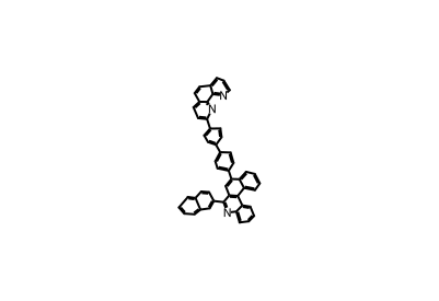 c1ccc2cc(-c3nc4ccccc4c4c3cc(-c3ccc(-c5ccc(-c6ccc7ccc8cccnc8c7n6)cc5)cc3)c3ccccc34)ccc2c1